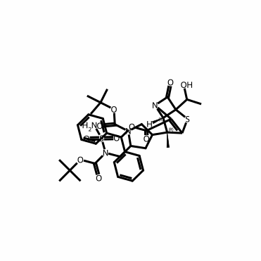 CC(O)C12SC3=C(C(=O)OC(c4ccccc4)c4ccccc4)N(C1=O)[C@H]2[C@@]3(C)C1CC(CN(C(=O)OC(C)(C)C)S(N)(=O)=O)N(C(=O)OC(C)(C)C)C1